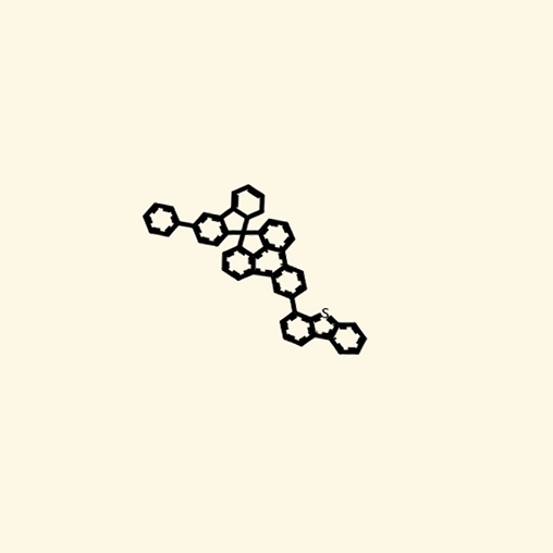 C1=CCC2C(=C1)c1cc(-c3ccccc3)ccc1C21c2cccc3c4ccc(-c5cccc6c5sc5ccccc56)cc4c4cccc1c4c23